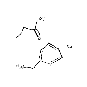 CCC(=O)O.NCc1ccccn1.[Cu]